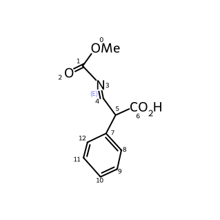 COC(=O)/N=C/C(C(=O)O)c1ccccc1